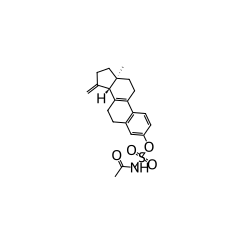 C=C1CC[C@@]2(C)CCC3=C(CCc4cc(OS(=O)(=O)NC(C)=O)ccc43)[C@H]12